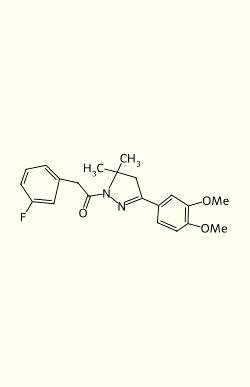 COc1ccc(C2=NN(C(=O)Cc3cccc(F)c3)C(C)(C)C2)cc1OC